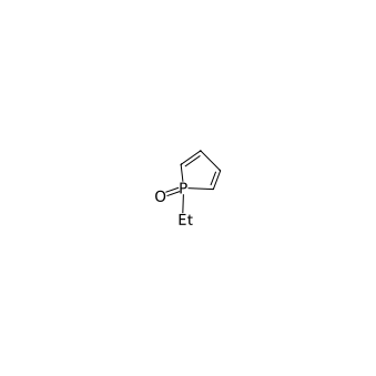 CCP1(=O)C=CC=C1